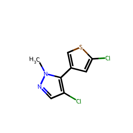 Cn1ncc(Cl)c1-c1csc(Cl)c1